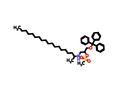 CCCCCCCCCCCCCCCCCC(C)NCC(COC(c1ccccc1)(c1ccccc1)c1ccccc1)OS(C)(=O)=O